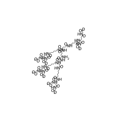 COC(=O)CNC(=O)CCC(NC(=O)CCCCCNC(=O)CCC(NC(=O)CCC(N)C(=O)NC(CCC(=O)NCCCCCC(=O)NC(CCC(=O)NCC(=O)OC)C(=O)NCC(=O)OC)C(=O)NCCCCCC(=O)NC(CCC(=O)NCC(=O)OC)C(=O)NCC(=O)OC)C(=O)NCCCCCC(=O)NC(CCC(=O)NCC(=O)OC)C(=O)NCC(=O)OC)C(=O)NCC(=O)OC